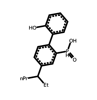 CCCC(CC)c1ccc(-c2ccccc2O)c([PH](=O)O)c1